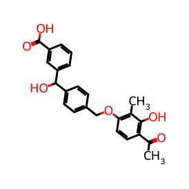 CC(=O)c1ccc(OCc2ccc(C(O)c3cccc(C(=O)O)c3)cc2)c(C)c1O